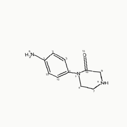 Nc1ccc(N2CCNCC2=O)cc1